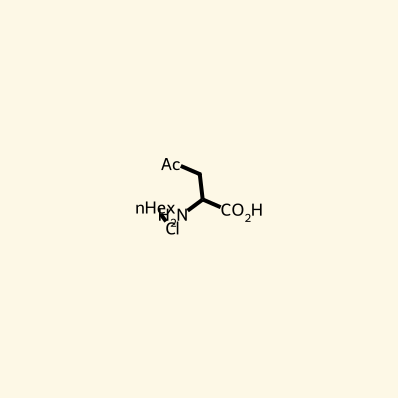 CC(=O)CC(N)C(=O)O.CCCCCCCl